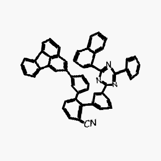 N#Cc1cccc(-c2cccc(-c3cc4c5c(cccc5c3)-c3ccccc3-4)c2)c1-c1cccc(-c2nc(-c3ccccc3)nc(-c3cccc4ccccc34)n2)c1